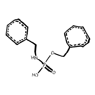 O=P(O)(NCc1ccccc1)OCc1ccccc1